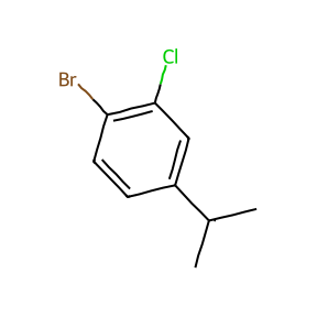 C[C](C)c1ccc(Br)c(Cl)c1